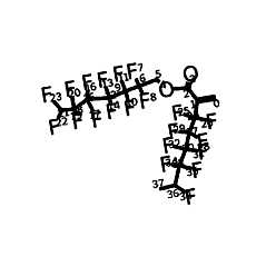 C=C(C(=O)OCC(F)(F)C(F)(F)C(F)(F)C(F)(F)C(F)(F)C(F)F)C(F)(F)C(F)(F)C(F)(F)C(F)(F)C(C)F